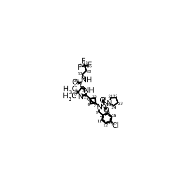 CC1(C)N=C(C23CC(N(Cc4ccc(Cl)cc4)S(=O)(=O)N4CCCC4)(C2)C3)N[C@H]1C(=O)NCCC(F)(F)F